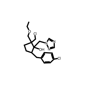 CCOCC1(CCl)CCC(Cc2ccc(Cl)cc2)C1(O)Cn1cncn1